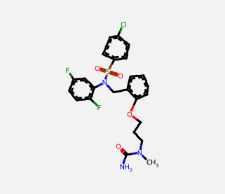 CN(CCCOc1ccccc1CN(c1cc(F)ccc1F)S(=O)(=O)c1ccc(Cl)cc1)C(N)=O